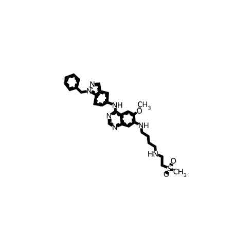 COc1cc2c(Nc3ccc4c(cnn4Cc4ccccc4)c3)ncnc2cc1NCCCCNCCS(C)(=O)=O